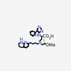 COC(F)CN(CCCCc1ccc2c(n1)NCCC2)CC[C@H](Nc1ncncc1-c1ccccc1)C(=O)O